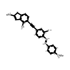 CCCC1=Cc2c(ccc(C#Cc3ccc(N=Nc4ccc(OC)cc4)c(F)c3)c2CC)C1